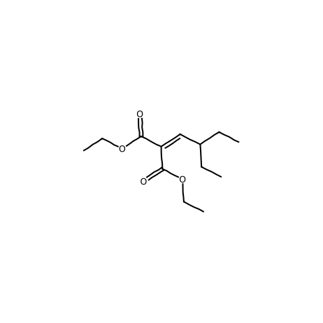 CCOC(=O)C(=CC(CC)CC)C(=O)OCC